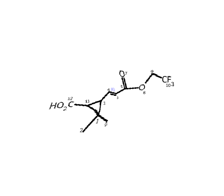 CC1(C)C(/C=C/C(=O)OCC(F)(F)F)C1C(=O)O